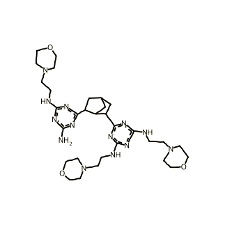 Nc1nc(NCCN2CCOCC2)nc(C2CC3CC(c4nc(NCCN5CCOCC5)nc(NCCN5CCOCC5)n4)C2C3)n1